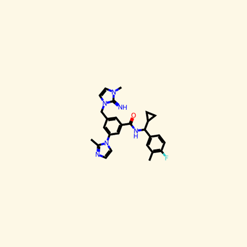 Cc1cc(C(NC(=O)c2cc(Cn3ccn(C)c3=N)cc(-n3ccnc3C)c2)C2CC2)ccc1F